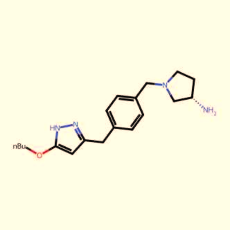 CCCCOc1cc(Cc2ccc(CN3CC[C@H](N)C3)cc2)n[nH]1